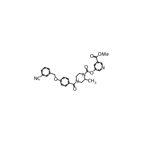 COC(=O)c1cncc(OC(=O)N2CCN(C(=O)c3ccc(OCc4cccc(C#N)c4)cc3)CC2C)c1